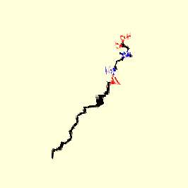 CCCCCCCCCCCCCCONCCC[N+](C)(C)CC(=O)O